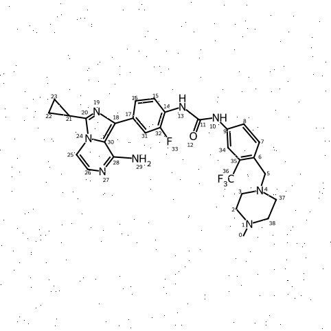 CN1CCN(Cc2ccc(NC(=O)Nc3ccc(-c4nc(C5CC5)n5ccnc(N)c45)cc3F)cc2C(F)(F)F)CC1